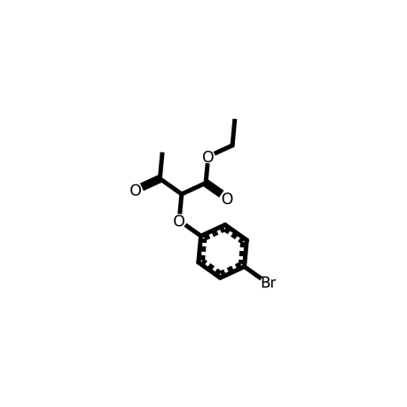 CCOC(=O)C(Oc1ccc(Br)cc1)C(C)=O